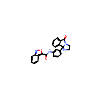 O=C(Nc1cccc(C23NCCN2C(=O)c2ccccc23)c1)c1onc2ccccc12